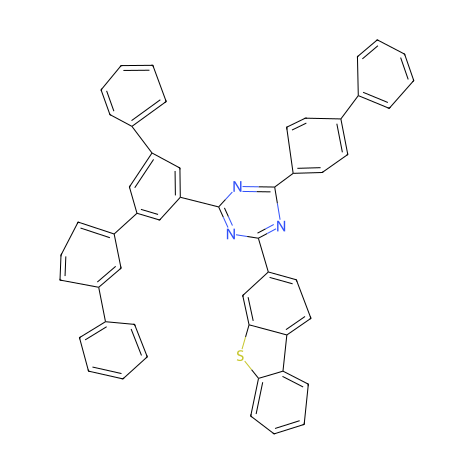 c1ccc(-c2ccc(-c3nc(-c4cc(-c5ccccc5)cc(-c5cccc(-c6ccccc6)c5)c4)nc(-c4ccc5c(c4)sc4ccccc45)n3)cc2)cc1